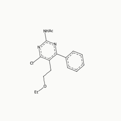 CCOCCc1c(Cl)nc(NC(C)=O)nc1-c1ccccc1